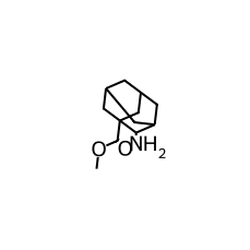 COC(=O)C12CC3CC(CC(C3)C1N)C2